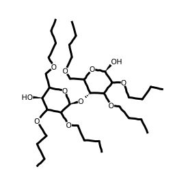 CCCCOCC1O[C@@H](O[C@@H]2C(COCCCC)O[C@@H](O)C(OCCCC)C2OCCCC)C(OCCCC)C(OCCCC)[C@H]1O